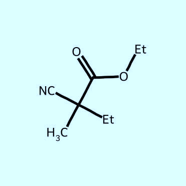 CCOC(=O)C(C)(C#N)CC